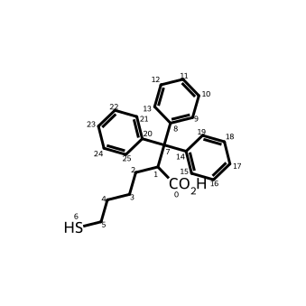 O=C(O)C(CCCCS)C(c1ccccc1)(c1ccccc1)c1ccccc1